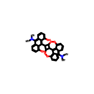 CCCN(CCC)c1c2cccc(O)c2c(C2C3OOc4cccc5c(N(CCC)CCC)c6cccc7c6c(c45)C3C2OO7)c2c(O)cccc12